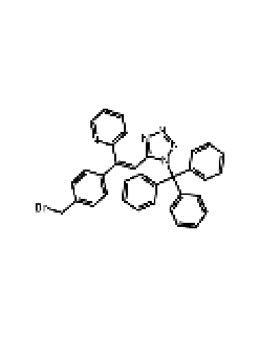 BrCc1ccc(C(=Cc2nnnn2C(c2ccccc2)(c2ccccc2)c2ccccc2)c2ccccn2)cc1